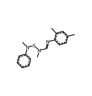 Cc1ccc(N=CN(C)SN(C)c2ccccc2)c(C)c1